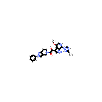 COc1cnc(-n2cnc(C)n2)c2[nH]cc(C(=O)C(=O)N3CCc4nn(-c5ccccc5)cc4C3)c12